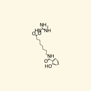 N=C(N)NOC(=O)CCCCCCCNC(=O)c1ccccc1O